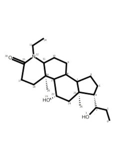 CCC(O)[C@H]1CCC2C3CCC4N(CC)C(=O)CC[C@]4(C)C3[C@@H](O)C[C@@]21C